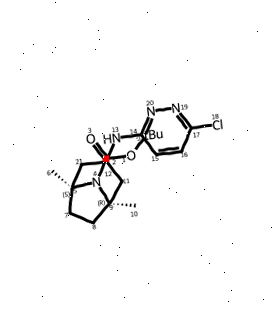 CC(C)(C)OC(=O)N1[C@@]2(C)CC[C@]1(C)CC(Nc1ccc(Cl)nn1)C2